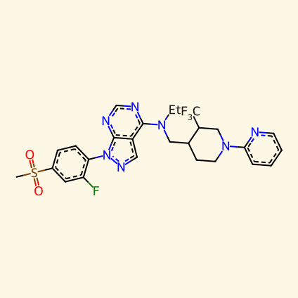 CCN(CC1CCN(c2ccccn2)CC1C(F)(F)F)c1ncnc2c1cnn2-c1ccc(S(C)(=O)=O)cc1F